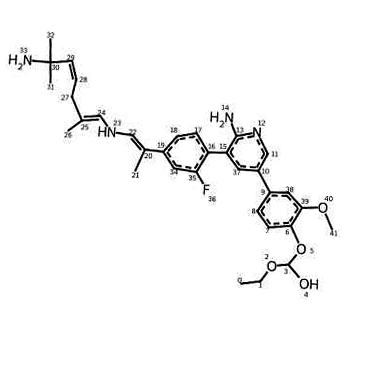 CCOC(O)Oc1ccc(-c2cnc(N)c(-c3ccc(/C(C)=C/N/C=C(\C)C/C=C\C(C)(C)N)cc3F)c2)cc1OC